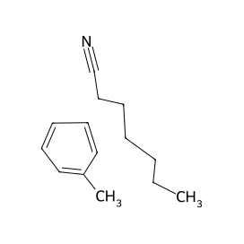 CCCCCCC#N.Cc1ccccc1